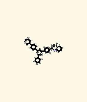 N=C(/N=c1/cccc[nH]1)c1ccc(-c2cc(-c3ccc(-c4cccnc4)cc3)nc(-c3ccccc3)n2)cc1